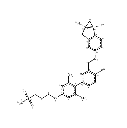 Cc1cc(OCCCS(C)(=O)=O)nc(C)c1-c1ccc(F)c(COc2ccc3c(c2)C[C@H]2C[C@@H]32)c1